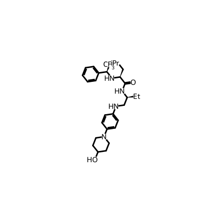 CC[C@@H](CNc1ccc(N2CCC(O)CC2)cc1)NC(=O)[C@H](CC(C)C)N[C@@H](c1ccccc1)C(F)(F)F